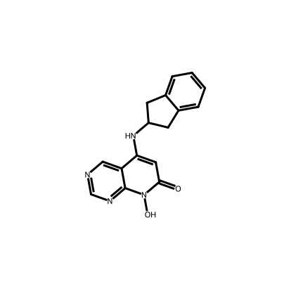 O=c1cc(NC2Cc3ccccc3C2)c2cncnc2n1O